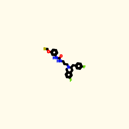 O=C(NCCCN1Cc2ccc(F)cc2CC1Cc1ccc(F)cc1)Nc1cccc(OC=S)c1